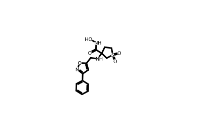 O=C(NO)C1(NCc2cc(-c3ccccc3)no2)CCS(=O)(=O)C1